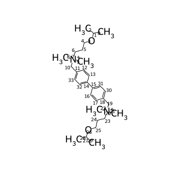 CC(C)OCCC[N+](C)(C)Cc1ccc(-c2ccc(C[N+](C)(C)CCCOC(C)C)cc2)cc1